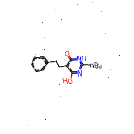 CCCCc1nc(O)c(CCc2ccccc2)c(=O)[nH]1